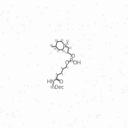 CCCCCCCCCCNC(=O)CCCCOP(O)OCC[N+]1(C)CCC(C)CC1